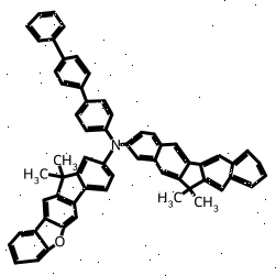 CC1(C)c2cc3ccccc3cc2-c2cc3ccc(N(c4ccc(-c5ccc(-c6ccccc6)cc5)cc4)c4ccc5c(c4)C(C)(C)c4cc6c(cc4-5)oc4ccccc46)cc3cc21